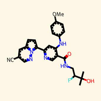 COc1ccc(Nc2cc(-c3ccc4cc(C#N)cnn34)ncc2C(=O)NCC(F)C(C)(C)O)cc1